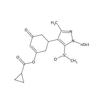 CCCCCCCCn1nc(C)c(C2CC(=O)C=C(OC(=O)C3CC3)C2)c1[S+](C)[O-]